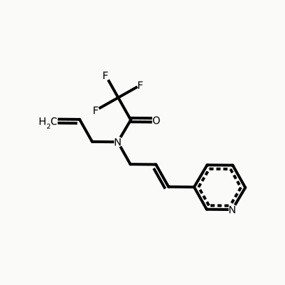 C=CCN(C/C=C/c1cccnc1)C(=O)C(F)(F)F